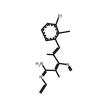 C=C\N=C(N)/C(C)=C(N=C)\C(C)=C\c1cccc(CC)c1C